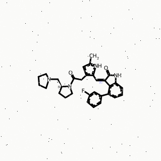 Cc1cc(CC(=O)N2CCC[C@H]2CN2CCCC2)c(/C=C2\C(=O)Nc3cccc(-c4cccc(F)c4)c32)[nH]1